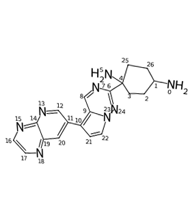 NC1CCC(N)(c2ncc3c(-c4cnc5nccnc5c4)ccn3n2)CC1